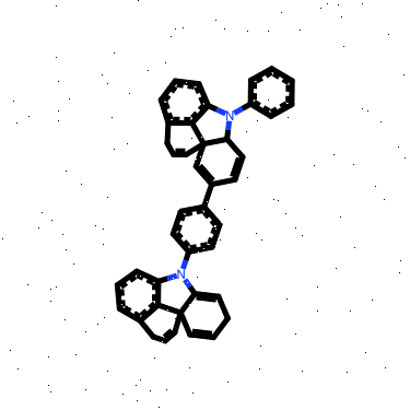 C1=CC23C=CCc4cccc(c42)N(c2ccc(C4=CC56C=CCc7cccc(c75)N(c5ccccc5)C6C=C4)cc2)C3=CC1